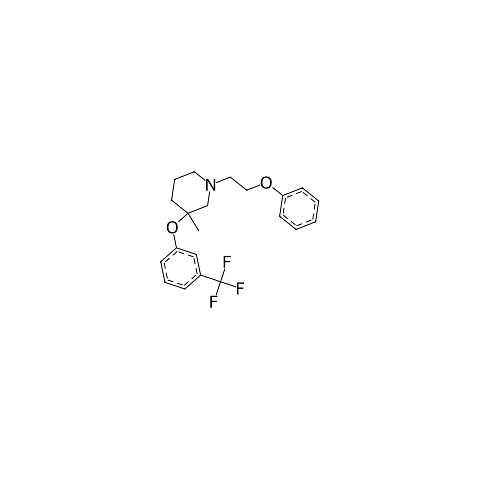 CC1(Oc2cccc(C(F)(F)F)c2)CCCN(CCOc2ccccc2)C1